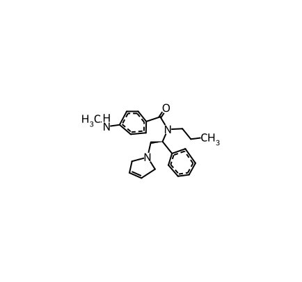 CCCN(C(=O)c1ccc(NC)cc1)[C@H](CN1CC=CC1)c1ccccc1